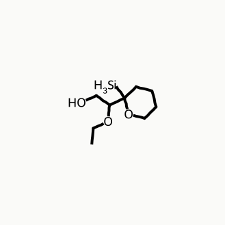 CCOC(CO)C1([SiH3])CCCCO1